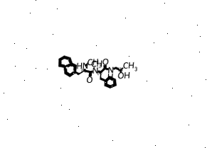 CN[C@H](Cc1ccc2ccccc2c1)C(=O)N(C)[C@H](Cc1ccccc1)C(=O)NC[C@@H](C)O